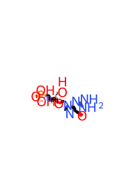 Nc1nc2c(ncn2CO[C@H](/C=C/P(=O)(O)O)CO)c(=O)[nH]1